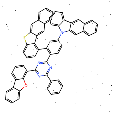 c1ccc(-c2nc(-c3ccc(-n4c5ccccc5c5cc6ccccc6cc54)cc3-c3cccc4sc5cc6ccccc6cc5c34)nc(-c3cccc4c3oc3ccccc34)n2)cc1